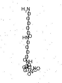 CC[C@@]1(OC(=O)CNC(=O)COCCOCCOCCOCCNC(=O)COCCOCCOCCOCCOCCN)C(=O)OCc2c1cc1n(c2=O)Cc2cc3ccccc3nc2-1